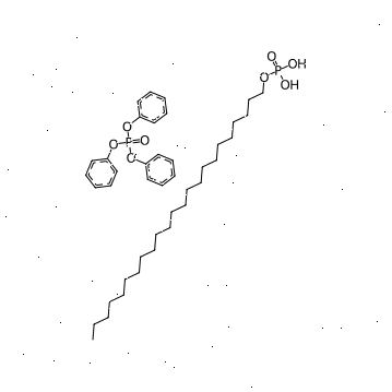 CCCCCCCCCCCCCCCCCCCCCCCOP(=O)(O)O.O=P(Oc1ccccc1)(Oc1ccccc1)Oc1ccccc1